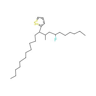 CCCCCCCCCCCC(c1cccs1)C(C)CC(F)CCCCCC